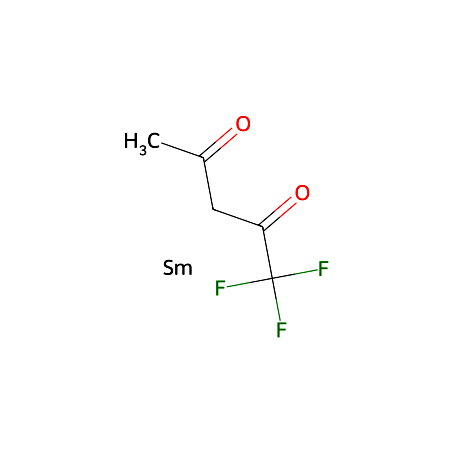 CC(=O)CC(=O)C(F)(F)F.[Sm]